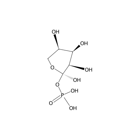 O=P(O)(O)O[C@@]1(O)OC[C@@H](O)[C@@H](O)[C@H]1O